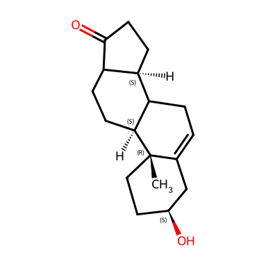 C[C@]12CC[C@H](O)CC1=CCC1[C@@H]3CCC(=O)C3CC[C@@H]12